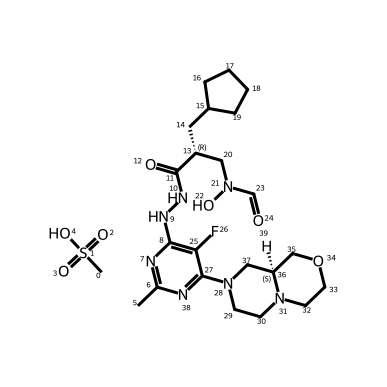 CS(=O)(=O)O.Cc1nc(NNC(=O)[C@H](CC2CCCC2)CN(O)C=O)c(F)c(N2CCN3CCOC[C@@H]3C2)n1